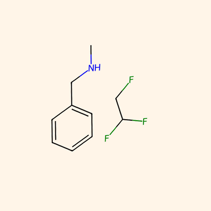 CNCc1ccccc1.FCC(F)F